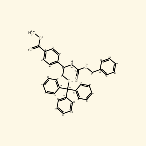 COC(=O)c1ccc(C(COC(c2ccccc2)(c2ccccc2)c2ccccc2)NC(=O)OCc2ccccc2)cc1